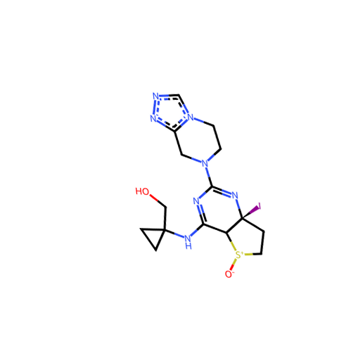 [O-][S+]1CC[C@@]2(I)N=C(N3CCn4cnnc4C3)N=C(NC3(CO)CC3)C12